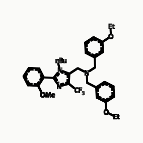 CCCCn1c(-c2ccccc2OC)nc(C(F)(F)F)c1CN(Cc1cccc(OCC)c1)Cc1cccc(OCC)c1